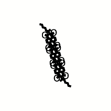 CCCCCC(C)N1C(=O)c2ccc3c4c(ccc(c24)C1=O)C(=O)N(N1C(=O)c2ccc4c5c(ccc(c25)C1=O)C(=O)N(N1C(=O)c2ccc5c6c(ccc(c26)C1=O)C(=O)N(C(C)CCCCC)C5=O)C4=O)C3=O